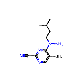 Bc1cnc(C#N)nc1N(N)CCC(C)C